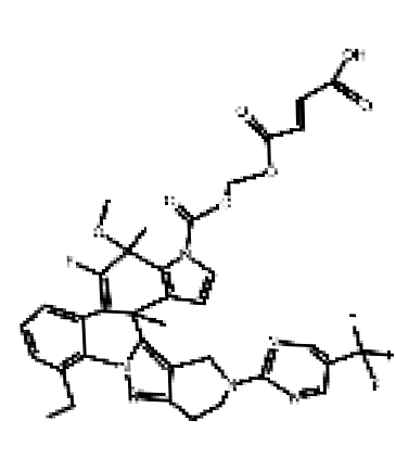 CCc1cccc2c1-n1nc3c(c1C1(C)C2=C(F)C(C)(OC)c2c1ccn2C(=O)OCOC(=O)/C=C/C(=O)O)CN(c1ncc(C(F)(F)F)cn1)CC3